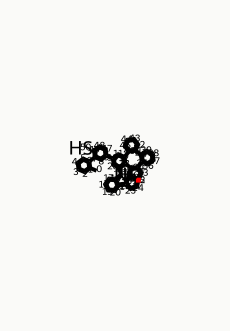 Cc1ccccc1-c1cc(-c2cc3c(c(-n4c5ccccc5c5ccccc54)c2)-c2ccccc2-c2ccccc2-c2ccccc2-3)ccc1S